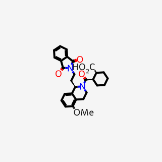 COc1cccc2c1CCN(C(=O)[C@@H]1CCCC[C@@H]1C(=O)O)[C@@H]2CCN1C(=O)c2ccccc2C1=O